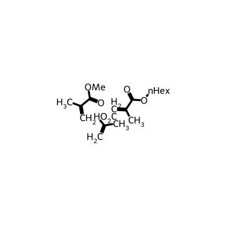 C=C(C)C(=O)O.C=C(C)C(=O)OC.C=C(C)C(=O)OCCCCCC